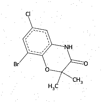 CC1(C)Oc2c(Br)cc(Cl)cc2NC1=O